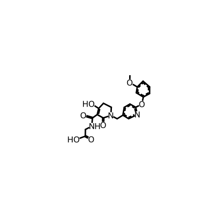 COc1cccc(Oc2ccc(CN3CCC(O)=C(C(=O)NCC(=O)O)C3=O)cn2)c1